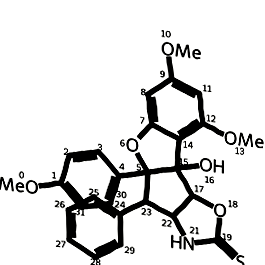 COc1ccc(C23Oc4cc(OC)cc(OC)c4C2(O)C2OC(=S)NC2C3c2ccccc2)cc1